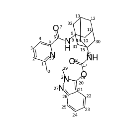 Cc1cccc(C(=O)NC23CC4CC(CC(NC(=O)Oc5c6ccccc6nn5C)(C4)C2)C3)n1